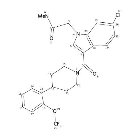 CNC(=O)Cn1cc(C(=O)N2CCC(c3ccccc3OC(F)(F)F)CC2)c2ccc(Cl)cc21